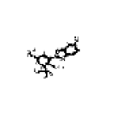 CCC(C)c1cc(-n2nc3ccc(Cl)cc3n2)c(O)c(C(C)(C)CC)c1